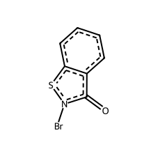 O=c1c2ccccc2sn1Br